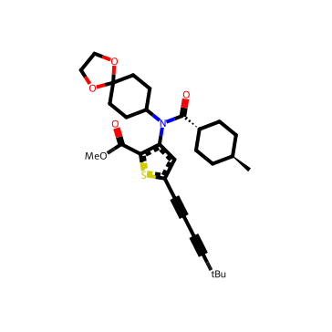 COC(=O)c1sc(C#CC#CC(C)(C)C)cc1N(C(=O)[C@H]1CC[C@H](C)CC1)C1CCC2(CC1)OCCO2